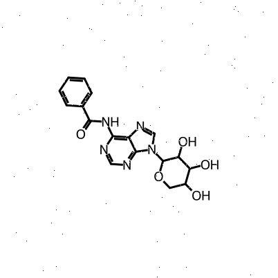 O=C(Nc1ncnc2c1ncn2C1OCC(O)C(O)C1O)c1ccccc1